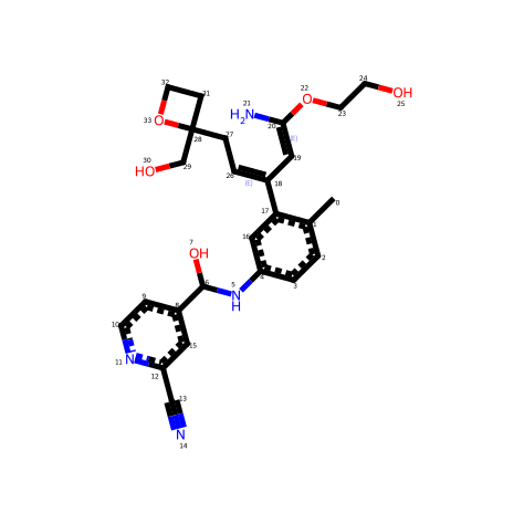 Cc1ccc(NC(O)c2ccnc(C#N)c2)cc1C(/C=C(\N)OCCO)=C/CC1(CO)CCO1